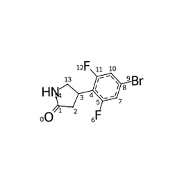 O=C1CC(c2c(F)cc(Br)cc2F)CN1